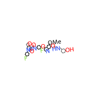 COc1cc2c(Oc3ccc(NC(=O)c4c5c(cn(-c6ccc(F)cc6)c4=O)CCO5)cc3F)ccnc2cc1OCCNCC1CCCC(O)C1